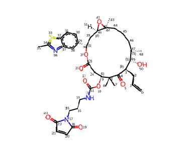 C=CC[C@H]1C(=O)C(C)(C)[C@@H](OC(=O)NCCCN2C(=O)C=CC2=O)CC(=O)O[C@H](c2ccc3sc(C)nc3c2)C[C@H]2O[C@@]2(C)CCC[C@H](C)[C@@H]1O